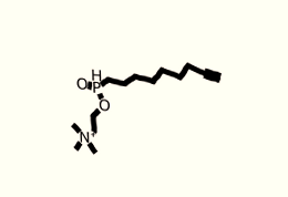 C#CCCCCCCC[PH](=O)OCC[N+](C)(C)C